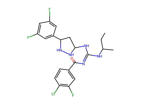 CCC(C)N/C(=N/C(=O)c1ccc(Cl)c(F)c1)NC1CC(c2cc(F)cc(F)c2)NN1